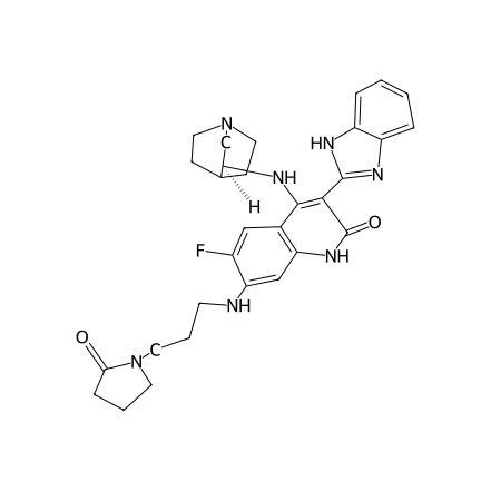 O=C1CCCN1CCCNc1cc2[nH]c(=O)c(-c3nc4ccccc4[nH]3)c(N[C@@H]3CN4CCC3CC4)c2cc1F